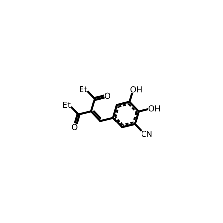 CCC(=O)C(=Cc1cc(O)c(O)c(C#N)c1)C(=O)CC